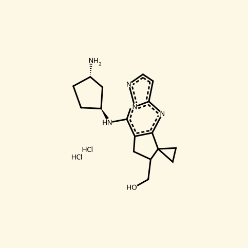 Cl.Cl.N[C@H]1CC[C@H](Nc2c3c(nc4ccnn24)C2(CC2)C(CO)C3)C1